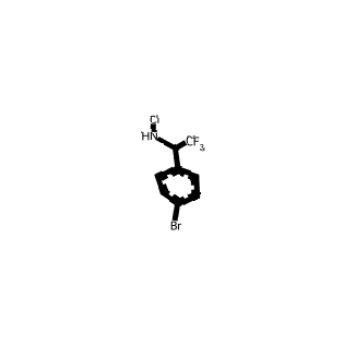 FC(F)(F)C(NCl)c1ccc(Br)cc1